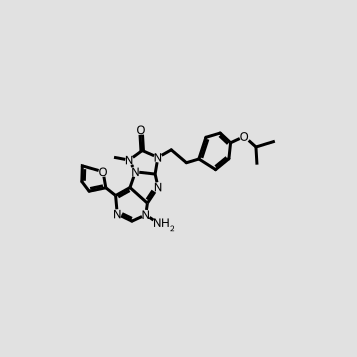 CC(C)Oc1ccc(CCN2C(=O)N(C)N3C4=C(c5ccco5)N=CN(N)C4=NC23)cc1